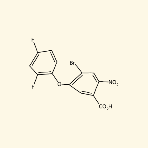 O=C(O)c1cc(Oc2ccc(F)cc2F)c(Br)cc1[N+](=O)[O-]